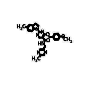 COc1ccc(COc2nc(N3CCc4cc(C)ccc43)ncc2C(=O)NCc2cnc(C)cn2)cc1